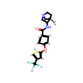 O=C(NC1CN2CC[C@H]1C2)c1ccc(Oc2cc(C(F)(F)F)cs2)cc1